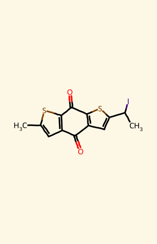 Cc1cc2c(s1)C(=O)c1sc(C(C)I)cc1C2=O